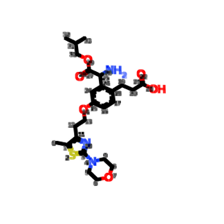 Cc1sc(N2CCOCC2)nc1CCOc1ccc(CCC(=O)O)c(C(N)C(=O)OCC(C)C)c1